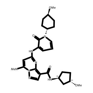 CNc1cc(Nc2cccn([C@H]3CC[C@H](OC)CC3)c2=O)nc2c(C(=O)N[C@H]3CC[C@H](OC)C3)cnn12